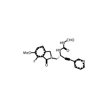 COc1ccc2c(c1F)C(=O)N(C[C@@H](C#Cc1cccnc1)NC(=O)NC=O)C2